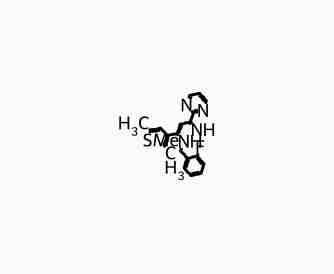 C/C=C(/C=C(/C)SC)C(=C\C(=N)c1ncccn1)\NCc1ccccc1F